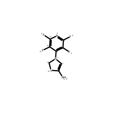 NC1=CN(c2c(F)c(F)nc(F)c2F)CS1